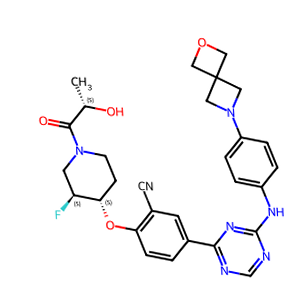 C[C@H](O)C(=O)N1CC[C@H](Oc2ccc(-c3ncnc(Nc4ccc(N5CC6(COC6)C5)cc4)n3)cc2C#N)[C@@H](F)C1